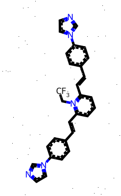 FC(F)(F)C[n+]1c(/C=C/c2ccc(-n3ccnc3)cc2)cccc1/C=C/c1ccc(-n2ccnc2)cc1